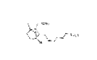 COC[C@@H]1[C@H](C/C=C\CCCC(=O)O)[C@@H]2CC[C@H]1O2